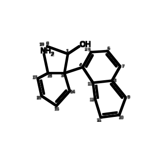 CC(O)C1(c2cccc3ccccc23)C=CC=CC1N